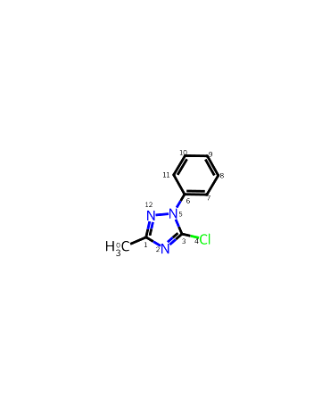 Cc1nc(Cl)n(-c2ccccc2)n1